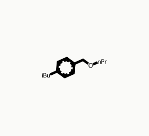 CCCOCc1ccc(C(C)CC)cc1